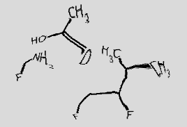 CC(=O)O.CC(C)C(F)CF.NF